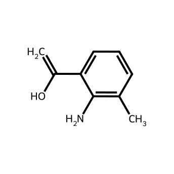 C=C(O)c1cccc(C)c1N